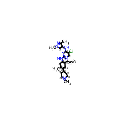 Cc1cc(Nc2ncc(Cl)c(Nc3cn(C)nc3C)n2)c(CCC(C)C)cc1C1CCN(C)CC1